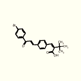 CC(C)(C)C(=Cc1ccc(C=CC(=O)c2ccc(Br)cc2)cc1)C(=O)O